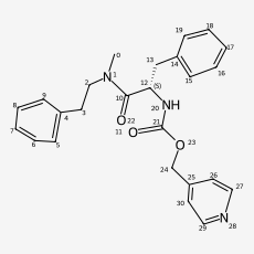 CN(CCc1ccccc1)C(=O)[C@H](Cc1ccccc1)NC(=O)OCc1ccncc1